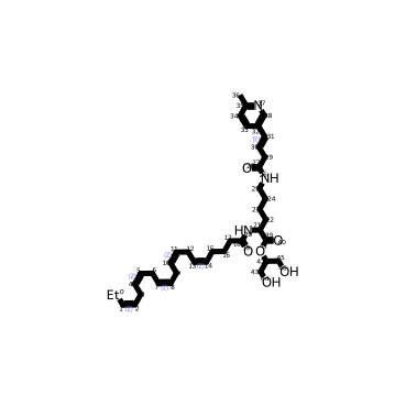 CC/C=C\C/C=C\C/C=C\C/C=C\C/C=C\CCCC(=O)NC(CCCCNC(=O)C/C=C/c1ccc(C)nc1)C(=O)OC(CO)CO